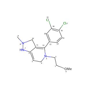 COCCN1CC=C2NN(C)CC2=C1c1ccc(Cl)c(Cl)c1